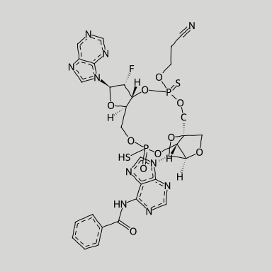 N#CCCOP1(=S)OC[C@@]23CO[C@@H]([C@H](n4cnc5c(NC(=O)c6ccccc6)ncnc54)O2)[C@@H]3OP(=O)(S)OC[C@H]2O[C@@H](n3cnc4cncnc43)[C@H](F)[C@@H]2O1